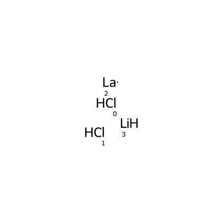 Cl.Cl.[La].[LiH]